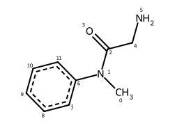 CN(C(=O)CN)c1[c]cccc1